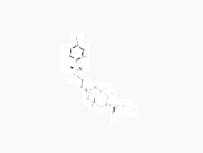 CC(C)(C)OC(=O)N1CC2CN(CCNS(=O)(=O)c3ccc(F)cc3)CC(C1)O2